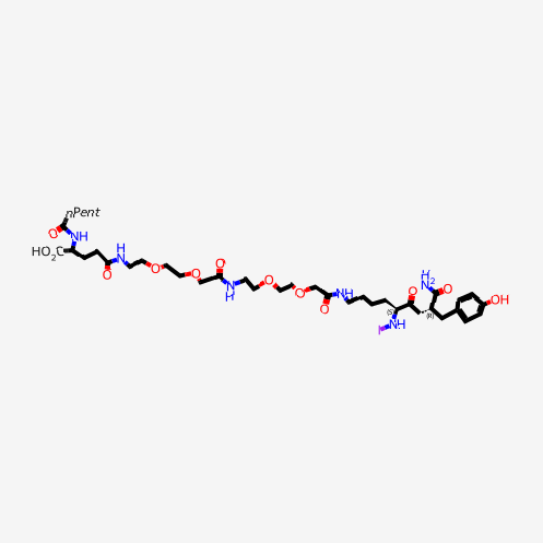 CCCCCC(=O)NC(CCC(=O)NCCOCCOCC(=O)NCCOCCOCC(=O)NCCCC[C@H](NI)C(=O)C[C@@H](Cc1ccc(O)cc1)C(N)=O)C(=O)O